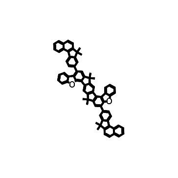 CC1(C)c2cc(-c3cc4c(c5c3oc3ccccc35)-c3cc5c(cc3C4(C)C)-c3c(cc(-c4ccc6c(c4)C(C)(C)c4ccc7ccccc7c4-6)c4c3oc3ccccc34)C5(C)C)ccc2-c2c1ccc1ccccc21